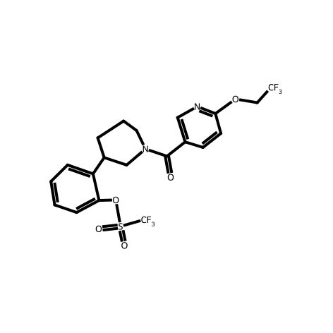 O=C(c1ccc(OCC(F)(F)F)nc1)N1CCCC(c2ccccc2OS(=O)(=O)C(F)(F)F)C1